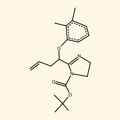 C=CCC(Oc1cccc(C)c1C)C1=NCCN1C(=O)OC(C)(C)C